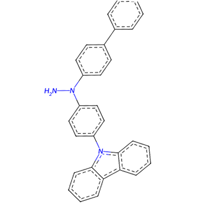 NN(c1ccc(-c2ccccc2)cc1)c1ccc(-n2c3ccccc3c3ccccc32)cc1